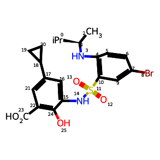 CC(C)[C@@H](C)Nc1ccc(Br)cc1S(=O)(=O)Nc1cc(C2CC2)cc(C(=O)O)c1O